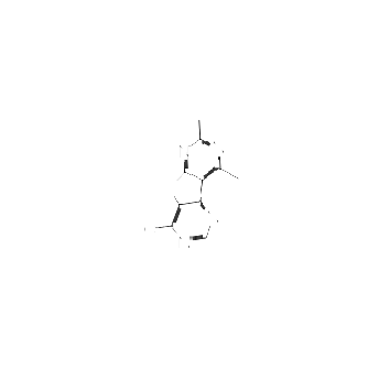 Cc1nc(C)c2c(n1)sc1c(O)ncnc12